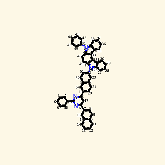 c1ccc(-c2nc(-c3ccc4ccccc4c3)cc(-c3ccc4cc(-n5c6ccccc6c6c7c8ccccc8n(-c8ccccc8)c7ccc65)ccc4c3)n2)cc1